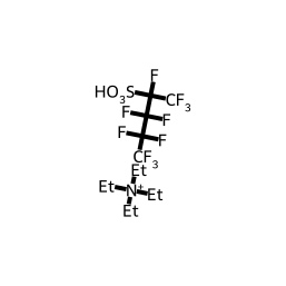 CC[N+](CC)(CC)CC.O=S(=O)(O)C(F)(C(F)(F)F)C(F)(F)C(F)(F)C(F)(F)F